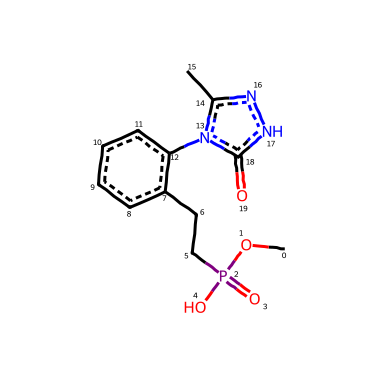 COP(=O)(O)CCc1ccccc1-n1c(C)n[nH]c1=O